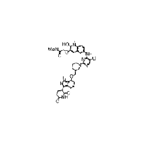 CNC(=O)COC1=Cc2cc(Nc3nc(N4CCC[C@H](COc5cccc6c(C7CCC(=O)NC7=O)nn(C)c56)C4)ncc3Cl)ccc2N(C)C1O